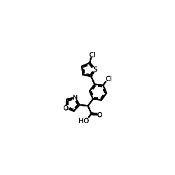 O=C(O)C(c1ccc(Cl)c(-c2ccc(Cl)s2)c1)c1cocn1